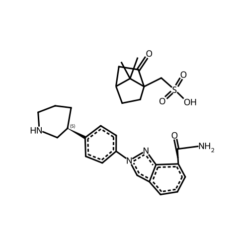 CC1(C)C2CCC1(CS(=O)(=O)O)C(=O)C2.NC(=O)c1cccc2cn(-c3ccc([C@@H]4CCCNC4)cc3)nc12